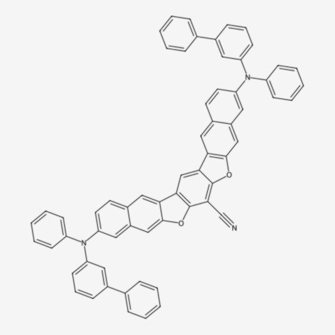 N#Cc1c2oc3cc4cc(N(c5ccccc5)c5cccc(-c6ccccc6)c5)ccc4cc3c2cc2c1oc1cc3cc(N(c4ccccc4)c4cccc(-c5ccccc5)c4)ccc3cc12